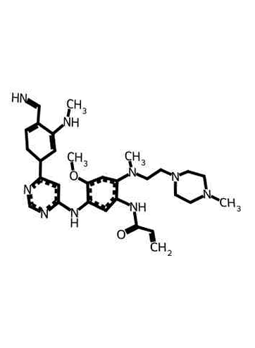 C=CC(=O)Nc1cc(Nc2cc(C3C=C(NC)C(C=N)=CC3)ncn2)c(OC)cc1N(C)CCN1CCN(C)CC1